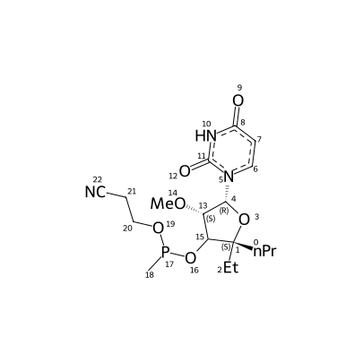 CCC[C@]1(CC)O[C@@H](n2ccc(=O)[nH]c2=O)[C@@H](OC)C1OP(C)OCCC#N